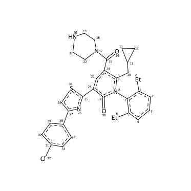 CCc1cccc(CC)c1-n1c(CC2CC2)c(C(=O)N2CCNCC2)cc(-c2nc(-c3ccc(Cl)cc3)cs2)c1=O